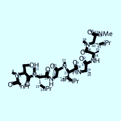 CCCC(=O)N(C)C(CO)C(=O)N(C)[C@@H](CC(C)C)C(=O)N[C@H](C(=O)N(C)[C@H](CC(C)C)C(=O)N[C@@H](C)C(=O)N[C@H](C)C(=O)N(C)[C@@H](CC(C)C)C(=O)NC)C(C)C